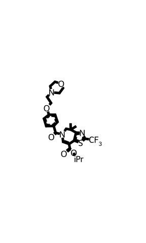 CC(C)OC(=O)C1=CN(C(=O)c2ccc(OCCN3CCOCC3)cc2)CC(C)(C)c2nc(C(F)(F)F)sc21